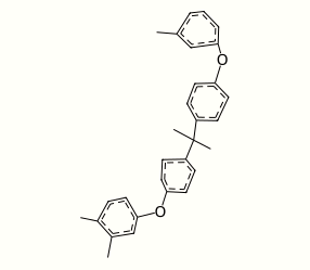 Cc1cccc(Oc2ccc(C(C)(C)c3ccc(Oc4ccc(C)c(C)c4)cc3)cc2)c1